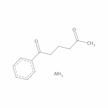 CC(=O)CCCC(=O)c1cc[c]cc1.[AlH3]